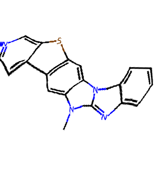 Cn1c2cc3c(cc2n2c4ccccc4nc12)sc1cnccc13